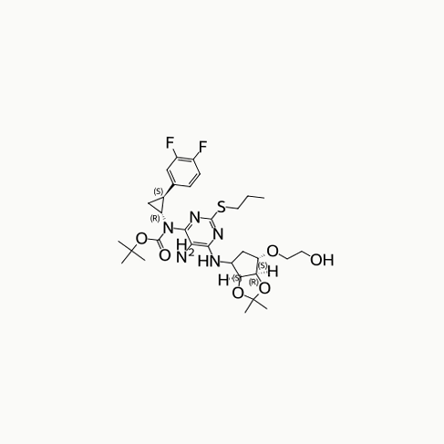 CCCSc1nc(NC2C[C@H](OCCO)[C@H]3OC(C)(C)O[C@@H]23)c(N)c(N(C(=O)OC(C)(C)C)[C@@H]2C[C@H]2c2ccc(F)c(F)c2)n1